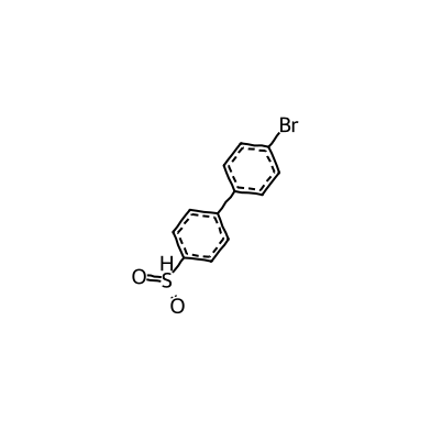 O=[SH](=O)c1ccc(-c2ccc(Br)cc2)cc1